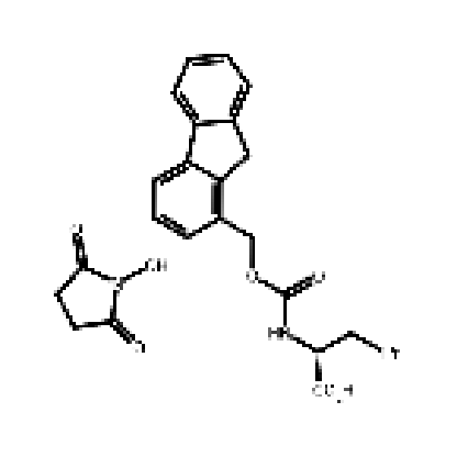 CC(C)C[C@H](NC(=O)OCc1cccc2c1Cc1ccccc1-2)C(=O)O.O=C1CCC(=O)N1O